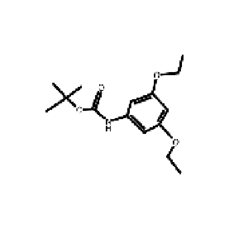 CCOc1cc(NC(=O)OC(C)(C)C)cc(OCC)c1